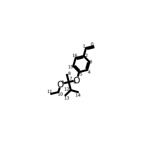 C=Cc1ccc(OC(C)(OCC)C(C)C)cc1